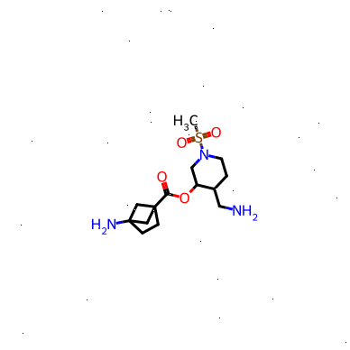 CS(=O)(=O)N1CCC(CN)C(OC(=O)C23CCC(N)(C2)C3)C1